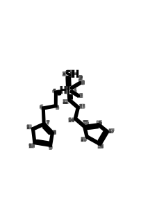 [CH3][Hf]([CH3])(=[SiH2])(=[CH]CCC1=CC=CC1)=[CH]CCC1=CC=CC1